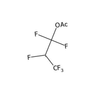 CC(=O)OC(F)(F)[C](F)C(F)(F)F